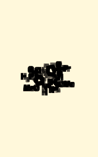 COc1cc(P(C)(C)=O)ccc1Nc1ncc(OC)c(Nc2ccccc2S(=O)(=O)C(C)C)n1